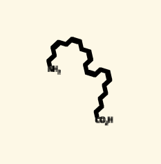 NCC/C=C\C/C=C\C/C=C\C/C=C\C/C=C\CCCCCC(=O)O